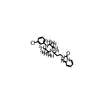 [2H]C([2H])(CCn1nc2ccccn2c1=O)N1C([2H])([2H])C([2H])([2H])N(c2cccc(Cl)c2)C([2H])([2H])C1([2H])[2H]